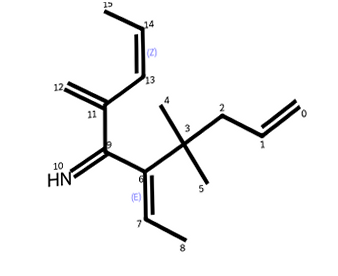 C=CCC(C)(C)/C(=C\C)C(=N)C(=C)/C=C\C